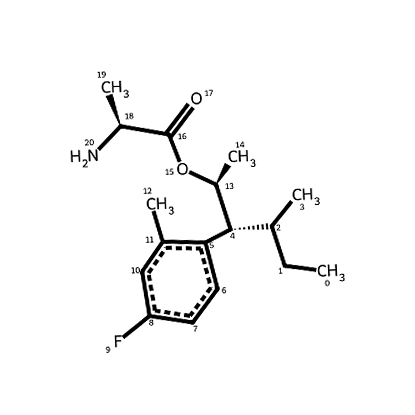 CCC(C)[C@H](c1ccc(F)cc1C)[C@H](C)OC(=O)[C@H](C)N